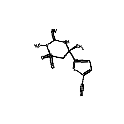 CN1C(=N)N[C@](C)(c2ccc(C#N)s2)CS1(=O)=O